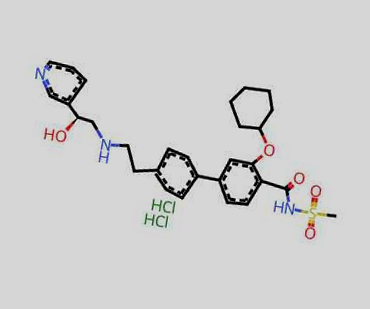 CS(=O)(=O)NC(=O)c1ccc(-c2ccc(CCNC[C@@H](O)c3cccnc3)cc2)cc1OC1CCCCC1.Cl.Cl